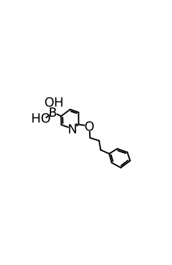 OB(O)c1ccc(OCCCc2ccccc2)nc1